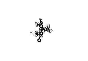 CS(=O)(=O)Oc1cc(C(=O)O[C@@H](Cc2c(Cl)c[n+]([O-])cc2Cl)c2ccc(OC(F)F)c(OCC3CC3)c2)ccc1OCc1ccccc1